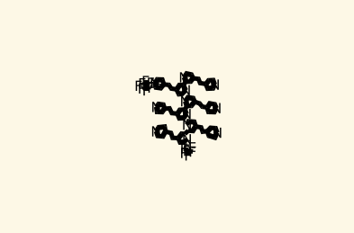 F[P-](F)(F)(F)(F)F.F[P-](F)(F)(F)(F)F.[Fe+2].c1cc(CCc2ccnc(-c3cc(CCc4ccncc4)ccn3)c2)ccn1.c1cc(CCc2ccnc(-c3cc(CCc4ccncc4)ccn3)c2)ccn1.c1cc(CCc2ccnc(-c3cc(CCc4ccncc4)ccn3)c2)ccn1